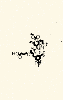 CCOC(=O)N1c2ccc(OC)nc2[C@@H]([AsH]c2ncc(OCCCC(=O)O)c(Cc3cc(C(F)(F)F)cc(C(F)(F)F)c3)n2)C[C@H]1CC